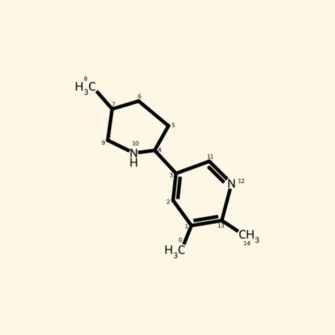 Cc1cc(C2CCC(C)CN2)cnc1C